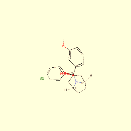 COc1cccc([C@]2(O)C[C@H]3CC[C@@H](C2)N3Cc2ccccc2)c1.Cl